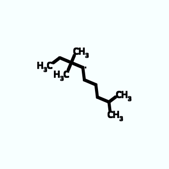 CCC(C)(C)[CH]CCCC(C)C